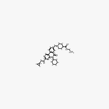 CCOC(=O)C1CCN(Cc2ccc3c(c2)c(=O)n(C2CCCCC2)c2nc(NCC4CC4)ncc32)CC1